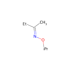 [CH2]C/C(C)=N/OC(C)C